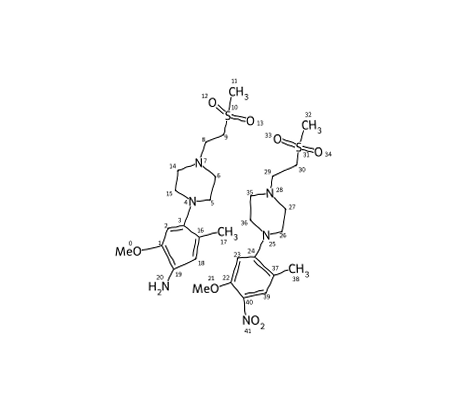 COc1cc(N2CCN(CCS(C)(=O)=O)CC2)c(C)cc1N.COc1cc(N2CCN(CCS(C)(=O)=O)CC2)c(C)cc1[N+](=O)[O-]